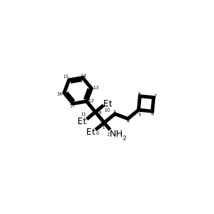 CCC(N)(CCC1CCC1)C(CC)(CC)c1ccccc1